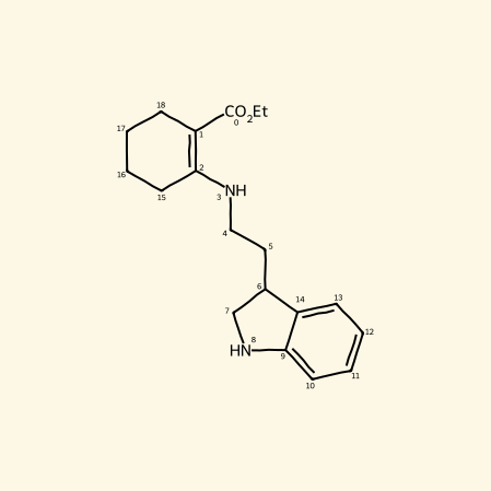 CCOC(=O)C1=C(NCCC2CNc3ccccc32)CCCC1